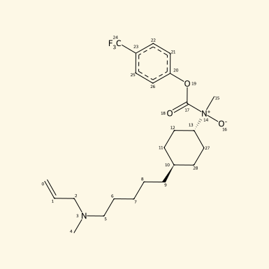 C=CCN(C)CCCCC[C@H]1CC[C@H]([N+](C)([O-])C(=O)Oc2ccc(C(F)(F)F)cc2)CC1